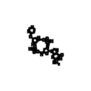 Nc1nc2c(ncn2[C@@H]2O[C@@H]3CO[P@](=O)(S)O[C@H]4C[C@H](Oc5ccncn5)C[C@@H]4CO[P@](=O)(S)O[C@@H]2C3)c(=O)[nH]1